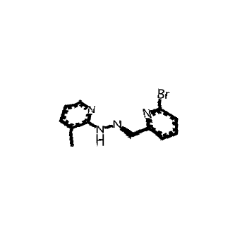 Cc1cccnc1NN=Cc1cccc(Br)n1